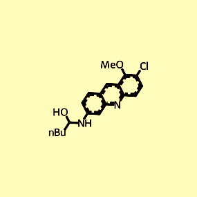 CCCCC(O)Nc1ccc2cc3c(OC)c(Cl)ccc3nc2c1